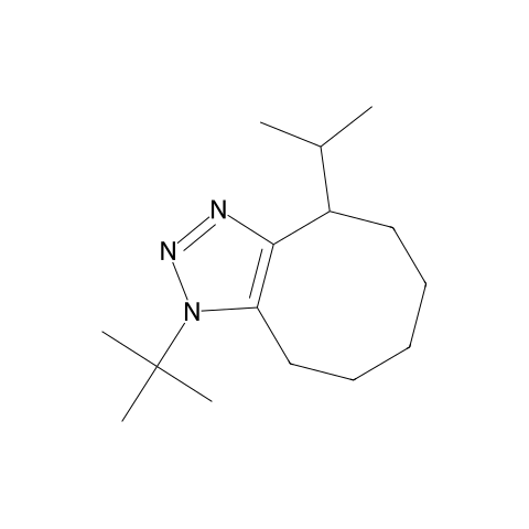 CC(C)C1CCCCCc2c1nnn2C(C)(C)C